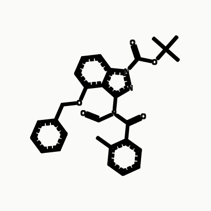 Cc1ccccc1C(=O)N(C=O)c1nn(C(=O)OC(C)(C)C)c2cccc(OCc3ccccc3)c12